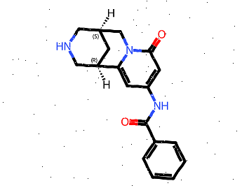 O=C(Nc1cc2n(c(=O)c1)C[C@@H]1CNC[C@H]2C1)c1ccccc1